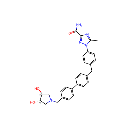 Cc1nc(C(N)=O)nn1-c1ccc(Cc2ccc(-c3ccc(CN4C[C@H](O)[C@@H](O)C4)cc3)cc2)cc1